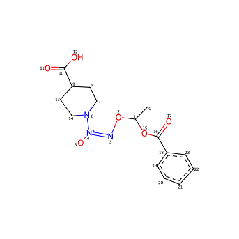 CC(O/N=[N+](/[O-])N1CCC(C(=O)O)CC1)OC(=O)c1ccccc1